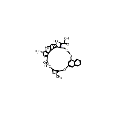 C/C(C(=O)O)=C1/CCCOc2cc(cc3ccccc23)SCc2cc(nn2C)CS(=O)(=O)Cc2nn(C)c(C)c2-c2c(Cl)ccc1c2C